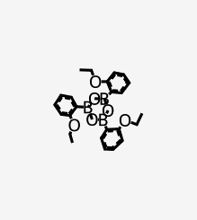 CCOc1ccccc1B1OB(c2ccccc2OCC)OB(c2ccccc2OCC)O1